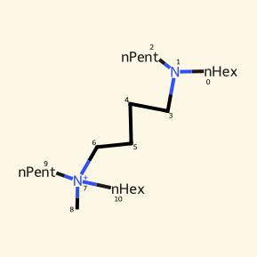 CCCCCCN(CCCCC)CCCC[N+](C)(CCCCC)CCCCCC